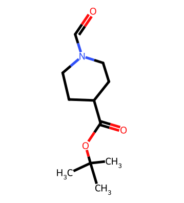 CC(C)(C)OC(=O)C1CCN(C=O)CC1